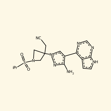 CC(C)S(=O)(=O)N1CC(CC#N)(n2cc(-c3ncnc4[nH]ccc34)c(N)n2)C1